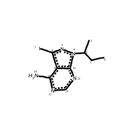 CCC(C)n1nc(I)c2c(N)ncnc21